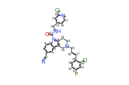 N#Cc1ccc2c(c1)c1c(n2C(=O)NCc2ccnc(Cl)c2)CCN(CC=Cc2ccc(F)cc2Cl)C1